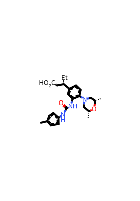 CC[C@@H](CC(=O)O)c1ccc(N2C[C@@H](C)O[C@@H](C)C2)c(NC(=O)Nc2ccc(C)cc2)c1